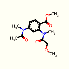 COCC(=O)N(C)c1cc(N(C)C(C)=O)ccc1C(=O)OC